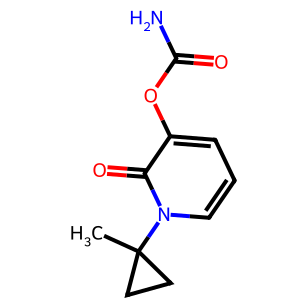 CC1(n2cccc(OC(N)=O)c2=O)CC1